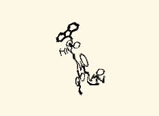 C=CCOC(=O)CN(CCNC(=O)OCC1c2ccccc2-c2ccccc21)C(=O)CCn1cccnc1=O